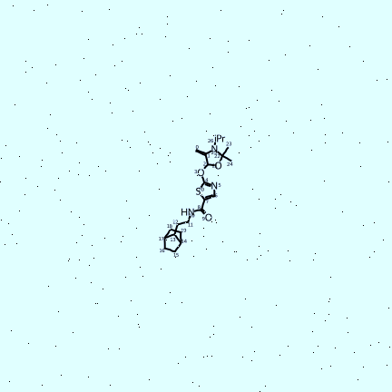 C=C1C(Oc2ncc(C(=O)NCCC3C4CCC3CC4)s2)OC(C)(C)N1C(C)C